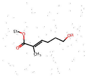 CCOC(=O)C(C)=CCCCO